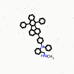 CNCc1ccccc1N(c1ccccc1)c1ccc(-c2ccc3c4c(cccc24)-c2c-3c(-c3ccccc3)c3ccccc3c2-c2ccccc2)cc1